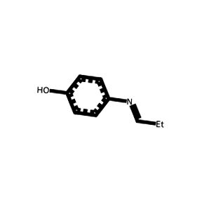 CCC=Nc1ccc(O)cc1